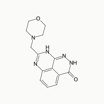 O=c1[nH]nc2c3c(cccc13)N=C(CN1CCOCC1)N2